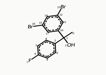 CC(O)(c1ccc(F)cc1)c1cc(Br)cc(Br)c1